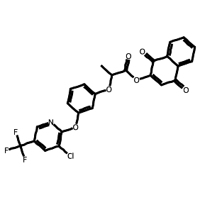 CC(Oc1cccc(Oc2ncc(C(F)(F)F)cc2Cl)c1)C(=O)OC1=CC(=O)c2ccccc2C1=O